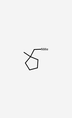 CNCC1(C)CCCC1